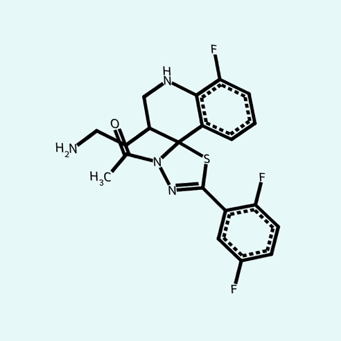 CC(=O)N1N=C(c2cc(F)ccc2F)SC12c1cccc(F)c1NCC2CCN